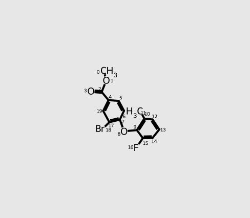 COC(=O)c1ccc(Oc2c(C)cccc2F)c(Br)c1